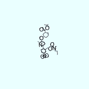 CCCN(C)C(=O)OCc1cc(S(C)(=O)=O)ccc1-c1ccc(O[C@H]2CCC[C@H](C(=O)OC(C)C)C2)c(C)n1